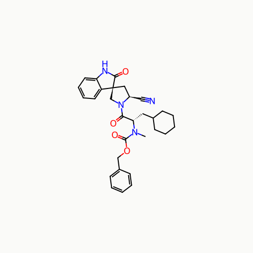 CN(C(=O)OCc1ccccc1)[C@@H](CC1CCCCC1)C(=O)N1C[C@]2(C[C@H]1C#N)C(=O)Nc1ccccc12